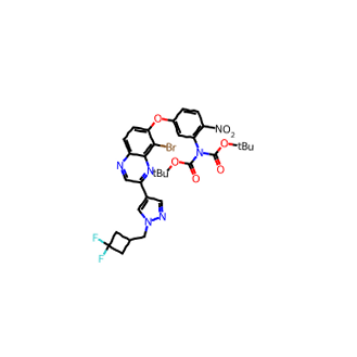 CC(C)(C)OC(=O)N(C(=O)OC(C)(C)C)c1cc(Oc2ccc3ncc(-c4cnn(CC5CC(F)(F)C5)c4)nc3c2Br)ccc1[N+](=O)[O-]